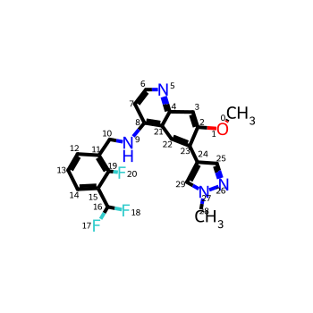 COc1cc2nccc(NCc3cccc(C(F)F)c3F)c2cc1-c1cnn(C)c1